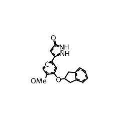 COc1ccc(-c2cc(=O)[nH][nH]2)cc1OC1Cc2ccccc2C1